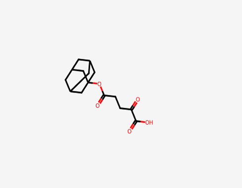 O=C(CCC(=O)C(=O)O)OC12CC3CC(CC(C3)C1)C2